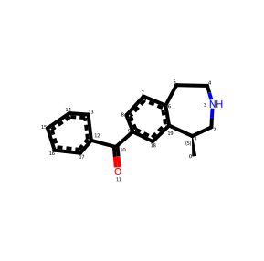 C[C@@H]1CNCCc2ccc(C(=O)c3ccccc3)cc21